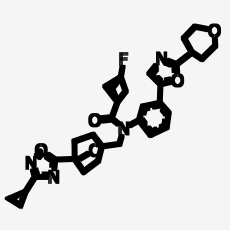 O=C(N(CC12CCC(c3nc(C4CC4)no3)(CC1)CC2)c1cccc(-c2cnc(C3CCOCC3)o2)c1)C12CC(F)(C1)C2